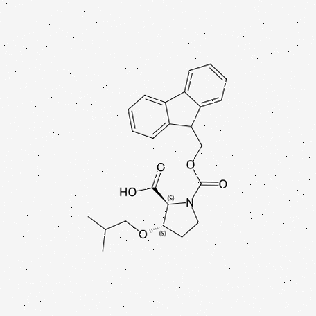 CC(C)CO[C@H]1CCN(C(=O)OCC2c3ccccc3-c3ccccc32)[C@@H]1C(=O)O